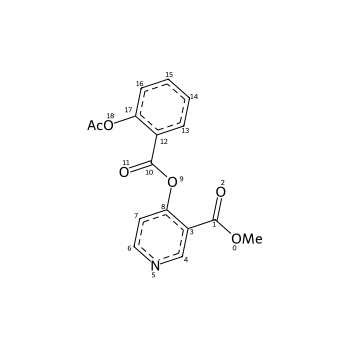 COC(=O)c1cnccc1OC(=O)c1ccccc1OC(C)=O